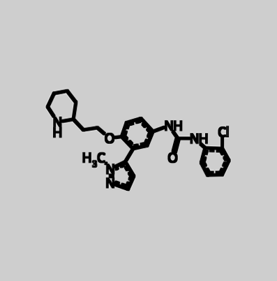 Cn1nccc1-c1cc(NC(=O)Nc2ccccc2Cl)ccc1OCCC1CCCCN1